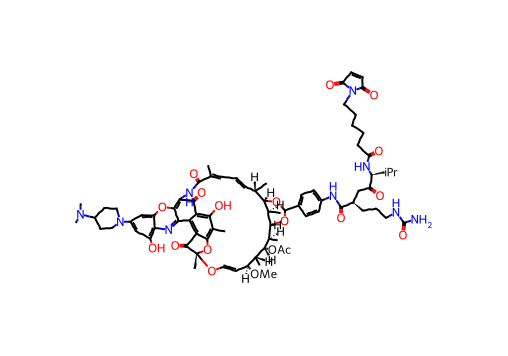 CO[C@H]1/C=C/O[C@@]2(C)Oc3c(C)c(O)c4c(=O)c(c5oc6cc(N7CCC(N(C)C)CC7)cc(O)c6nc-5c4c3C2=O)NC(=O)/C(C)=C\C=C\[C@H](C)[C@@H]2OC(c3ccc(NC(=O)[C@H](CCCNC(N)=O)CC(=O)[C@@H](NC(=O)CCCCCN4C(=O)C=CC4=O)C(C)C)cc3)O[C@@H]([C@@H](C)[C@H](OC(C)=O)[C@@H]1C)[C@@H]2C